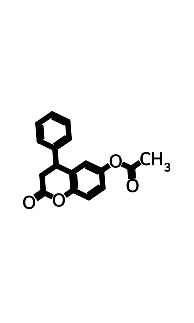 CC(=O)Oc1ccc2c(c1)C(c1ccccc1)CC(=O)O2